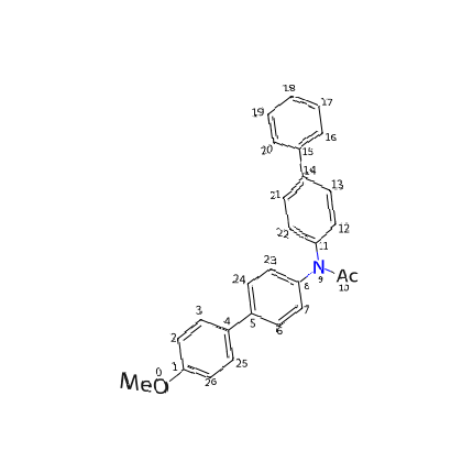 COc1ccc(-c2ccc(N(C(C)=O)c3ccc(-c4ccccc4)cc3)cc2)cc1